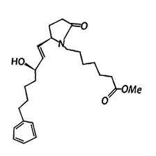 COC(=O)CCCCCCN1C(=O)CC[C@@H]1/C=C/[C@H](O)CCCCc1ccccc1